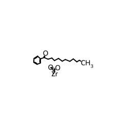 CCCCCCCCCCCC(=O)c1ccccc1.O=[S](=O)=[Zr]